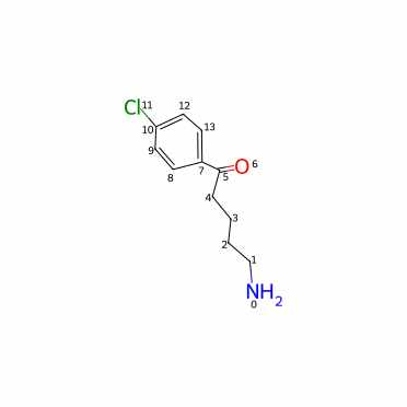 NCCCCC(=O)c1ccc(Cl)cc1